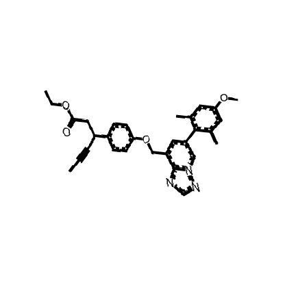 CC#CC(CC(=O)OCC)c1ccc(OCc2cc(-c3c(C)cc(OC)cc3C)cn3ncnc23)cc1